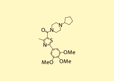 COc1cc(-c2nc(C)c(C(=O)N3CCN(C4CCCC4)CC3)s2)cc(OC)c1OC